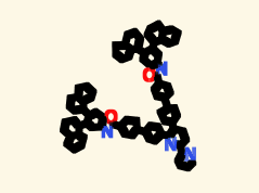 c1ccc(-c2ccc(-c3ccc(-c4ccc(-c5nc6cc(-c7cccc8ccccc78)c(-c7cccc8ccccc78)cc6o5)cc4)cc3)c(-c3ccc(-c4ccc(-c5nc6cc(-c7cccc8ccccc78)c(-c7cccc8ccccc78)cc6o5)cc4)cc3)n2)nc1